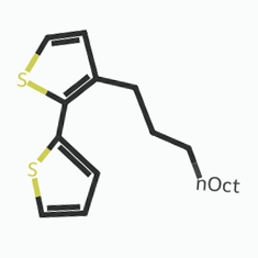 CCCCCCCCCCCc1ccsc1-c1cccs1